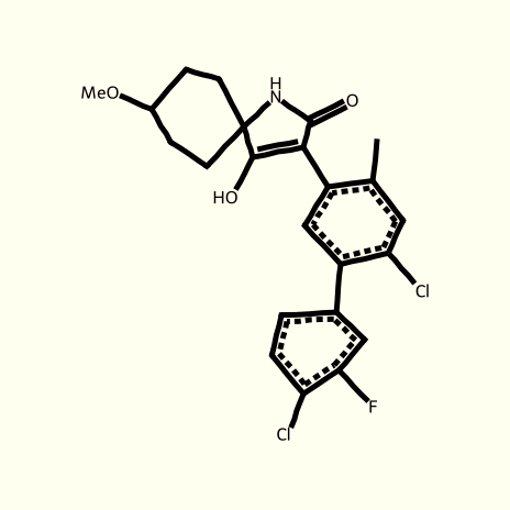 COC1CCC2(CC1)NC(=O)C(c1cc(-c3ccc(Cl)c(F)c3)c(Cl)cc1C)=C2O